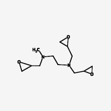 CN(CCN(CC1CO1)CC1CO1)CC1CO1